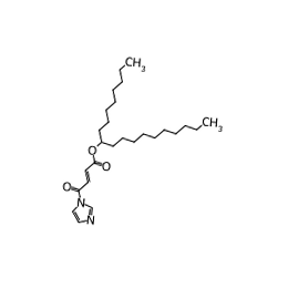 CCCCCCCCCCC(CCCCCCCC)OC(=O)/C=C/C(=O)n1ccnc1